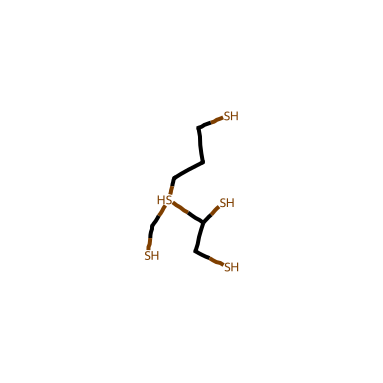 SCCC[SH](CS)C(S)CS